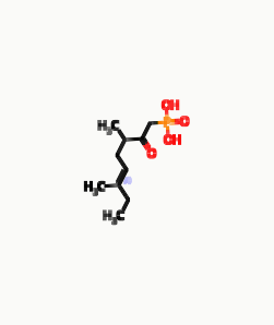 CC/C(C)=C/CC(C)C(=O)CP(=O)(O)O